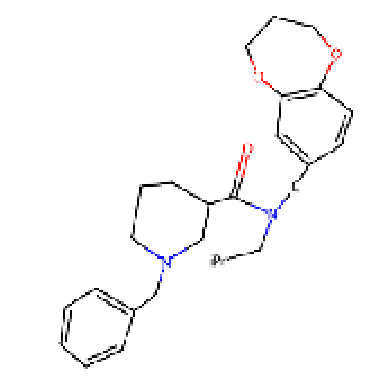 CC(C)CN(Cc1ccc2c(c1)OCCCO2)C(=O)C1CCCN(Cc2ccccc2)C1